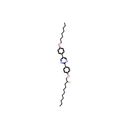 CCCCCCCCCC(F)COc1ccc(-c2ncc(-c3ccc(OCCCCCCCC)cc3)cn2)cc1